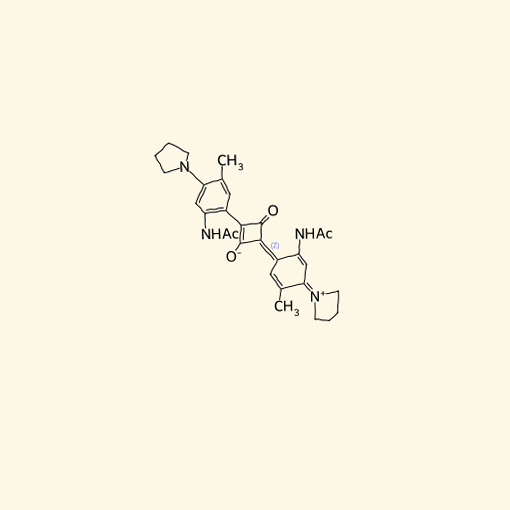 CC(=O)NC1=CC(=[N+]2CCCC2)C(C)=C/C1=C1/C(=O)C(c2cc(C)c(N3CCCC3)cc2NC(C)=O)=C1[O-]